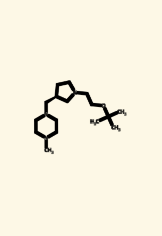 CN1CCN(C[C@H]2CCN(CCOC(C)(C)C)C2)CC1